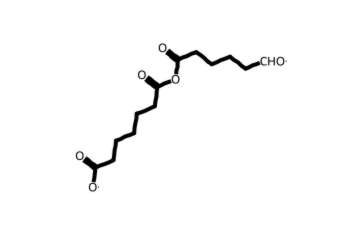 [O]C(=O)CCCCCC(=O)OC(=O)CCCC[C]=O